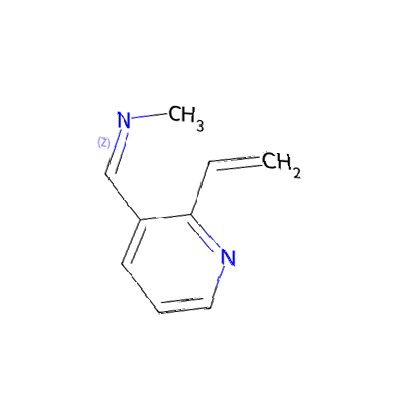 C=Cc1ncccc1/C=N\C